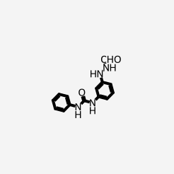 O=CNNc1cccc(NC(=O)Nc2ccccc2)c1